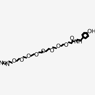 [N-]=[N+]=NCCOCCOCCOCCOCCOCCOCCOCCOCCC(=O)NCCc1ccc(O)cc1